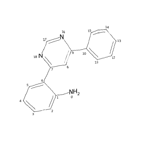 Nc1ccccc1-c1cc(-c2ccccc2)ncn1